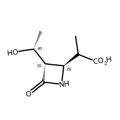 CC(C(=O)O)[C@H]1NC(=O)[C@@H]1[C@@H](C)O